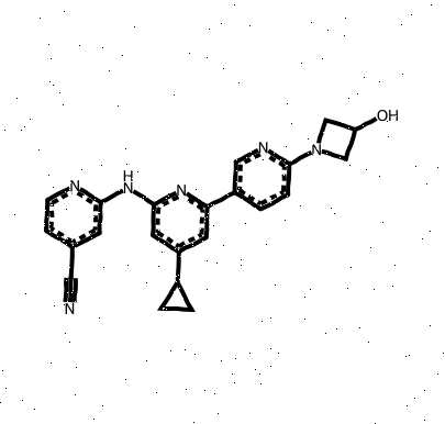 N#Cc1ccnc(Nc2cc(C3CC3)cc(-c3ccc(N4CC(O)C4)nc3)n2)c1